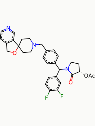 CC(=O)O[C@H]1CCN(C(c2ccc(CN3CCC4(CC3)OCc3ccncc34)cc2)c2ccc(F)c(F)c2)C1=O